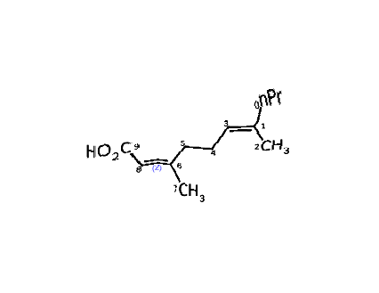 CCCC(C)=CCC/C(C)=C\C(=O)O